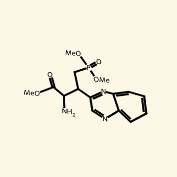 COC(=O)C(N)C(CP(=O)(OC)OC)c1cnc2ccccc2n1